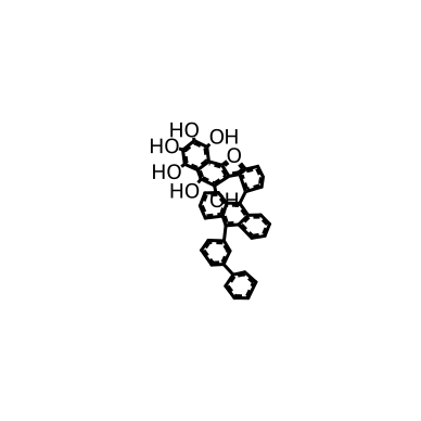 Oc1c(O)c(O)c2c(c1O)c(O)c(O)c1c2oc2cccc(-c3c4ccccc4c(-c4cccc(-c5ccccc5)c4)c4ccccc34)c21